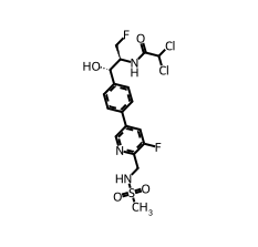 CS(=O)(=O)NCc1ncc(-c2ccc([C@H](O)[C@@H](CF)NC(=O)C(Cl)Cl)cc2)cc1F